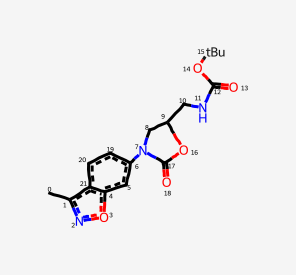 Cc1noc2cc(N3CC(CNC(=O)OC(C)(C)C)OC3=O)ccc12